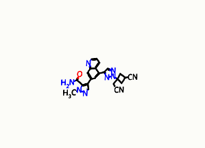 Cn1ncc(-c2cc(-c3cnn(C4(CC#N)CC(C#N)C4)n3)c3cccnc3c2)c1C(N)=O